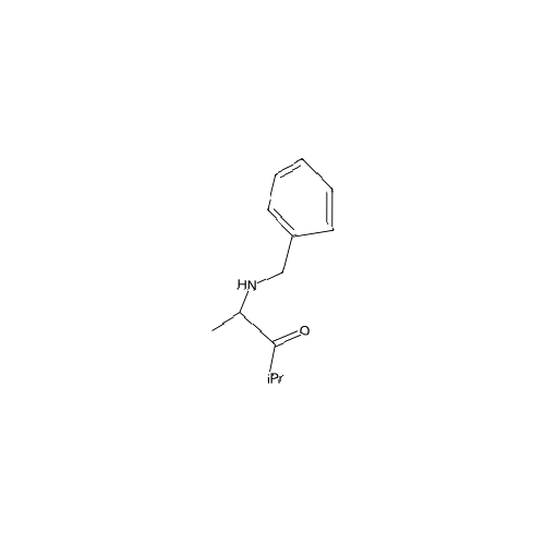 CC(C)C(=O)C(C)NCc1ccccc1